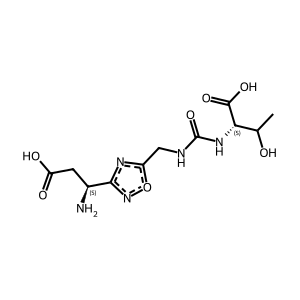 CC(O)[C@H](NC(=O)NCc1nc([C@@H](N)CC(=O)O)no1)C(=O)O